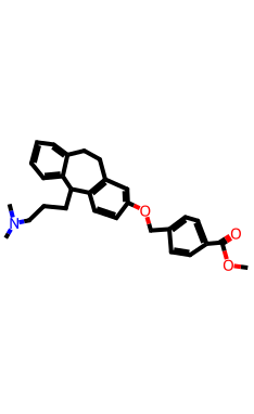 COC(=O)c1ccc(COc2ccc3c(c2)CCc2ccccc2C3CCCN(C)C)cc1